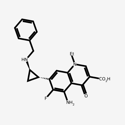 CCn1cc(C(=O)O)c(=O)c2c(N)c(F)c([C@@H]3C[C@H]3NCc3ccccc3)cc21